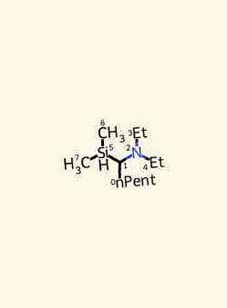 CCCCCC(N(CC)CC)[SiH](C)C